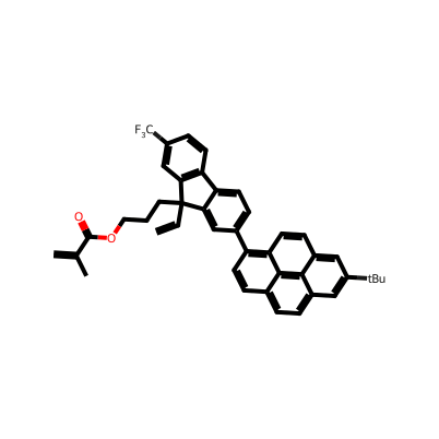 C=CC1(CCCOC(=O)C(=C)C)c2cc(-c3ccc4ccc5cc(C(C)(C)C)cc6ccc3c4c56)ccc2-c2ccc(C(F)(F)F)cc21